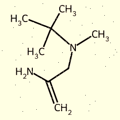 C=C(N)CN(C)C(C)(C)C